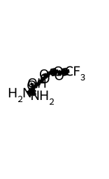 Nc1cc(N)cc(C(CCCCCCOC(=O)/C=C/c2ccc(OC(=O)c3ccc(C(F)(F)F)cc3)cc2)OO)c1